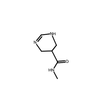 CNC(=O)C1CN=CNC1